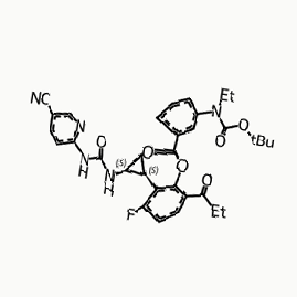 CCC(=O)c1ccc(F)c([C@@H]2C[C@@H]2NC(=O)Nc2ccc(C#N)cn2)c1OC(=O)c1cccc(N(CC)C(=O)OC(C)(C)C)c1